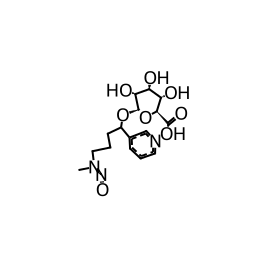 CN(CCCC(O[C@@H]1O[C@H](C(=O)O)[C@@H](O)[C@H](O)[C@H]1O)c1cccnc1)N=O